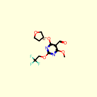 COc1nc(OCC(F)(F)F)nc(O[C@@H]2CCOC2)c1C=O